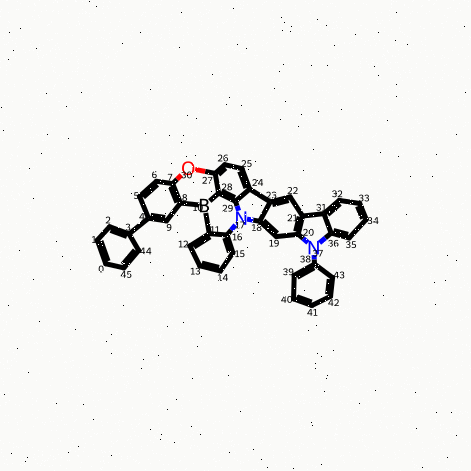 c1ccc(-c2ccc3c(c2)B2c4ccccc4-n4c5cc6c(cc5c5ccc(c2c54)O3)c2ccccc2n6-c2ccccc2)cc1